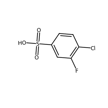 O=S(=O)(O)c1ccc(Cl)c(F)c1